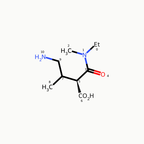 CCN(C)C(=O)[C@@H](C(=O)O)C(C)CN